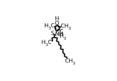 CCCCCCCCCCCCC(CCC)C(=S)Nc1cc(C)c(O)c(C)c1C